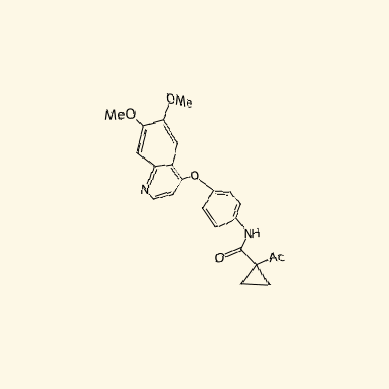 COc1cc2nccc(Oc3ccc(NC(=O)C4(C(C)=O)CC4)cc3)c2cc1OC